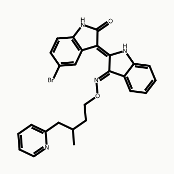 CC(CCO/N=C1/C(=C2/C(=O)Nc3ccc(Br)cc32)Nc2ccccc21)Cc1ccccn1